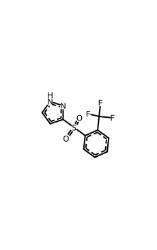 O=S(=O)(c1cc[nH]n1)c1ccccc1C(F)(F)F